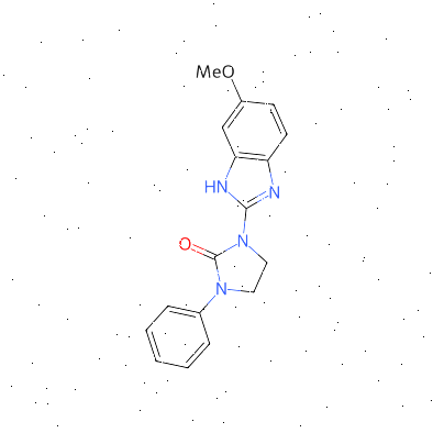 COc1ccc2nc(N3CCN(c4ccccc4)C3=O)[nH]c2c1